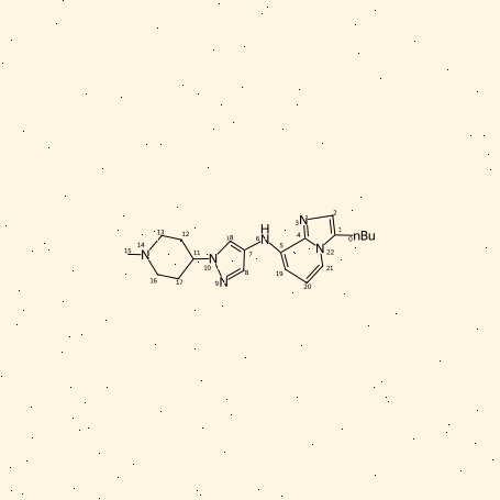 CCCCc1cnc2c(Nc3cnn(C4CCN(C)CC4)c3)cccn12